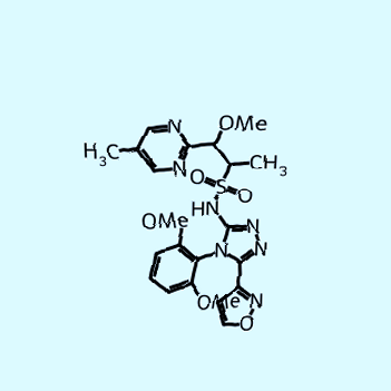 COc1cccc(OC)c1-n1c(NS(=O)(=O)C(C)C(OC)c2ncc(C)cn2)nnc1-c1ccon1